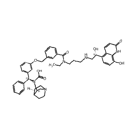 CCN(CCCNC[C@H](O)c1ccc(O)c2[nH]c(=O)ccc12)C(=O)c1cccc(COc2cccc([C@H](c3ccccc3)N(C(=O)O)[C@H]3CN4CCC3CC4)c2)c1